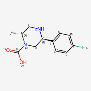 C[C@@H]1CN[C@@H](c2ccc(F)cc2)CN1C(=O)O